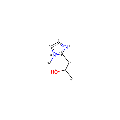 CC(O)Cc1nccn1C